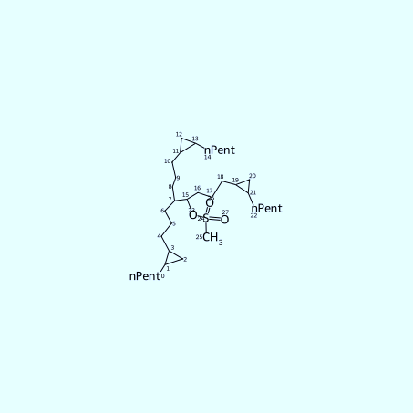 CCCCCC1CC1CCCC(CCCC1CC1CCCCC)C(CCCC1CC1CCCCC)OS(C)(=O)=O